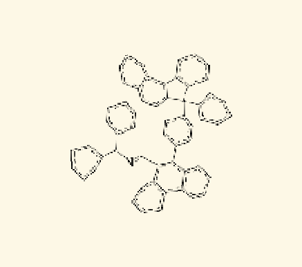 C(=N\C(c1ccccc1)c1ccccc1)/c1c(-c2ccc(C3(c4ccccc4)c4ccccc4-c4c3ccc3ccccc43)cc2)c2ccccc2c2ccccc12